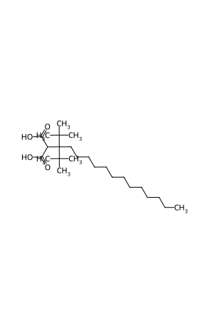 CCCCCCCCCCCCCC(C(C(=O)O)C(=O)O)(C(C)(C)C)C(C)(C)C